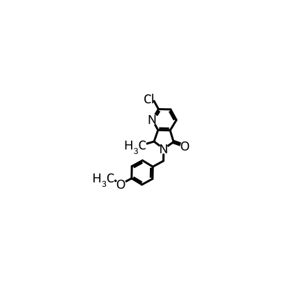 COc1ccc(CN2C(=O)c3ccc(Cl)nc3C2C)cc1